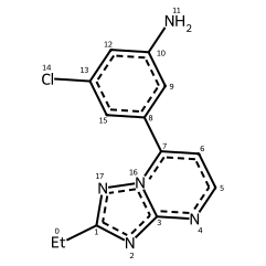 CCc1nc2nccc(-c3cc(N)cc(Cl)c3)n2n1